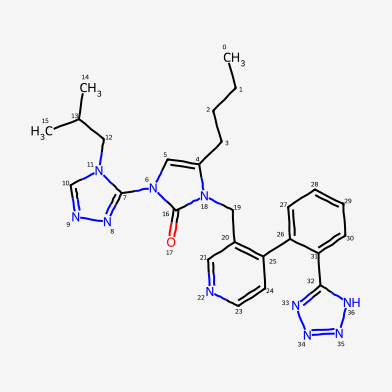 CCCCc1cn(-c2nncn2CC(C)C)c(=O)n1Cc1cnccc1-c1ccccc1-c1nnn[nH]1